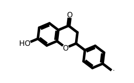 [CH2]c1ccc(C2CC(=O)c3ccc(O)cc3O2)cc1